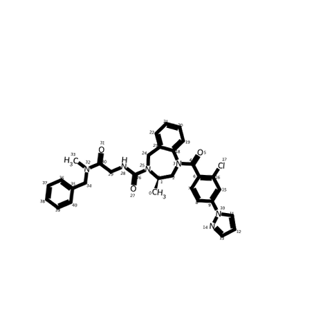 C[C@@H]1CN(C(=O)c2ccc(-n3cccn3)cc2Cl)c2ccccc2CN1C(=O)NCC(=O)N(C)Cc1ccccc1